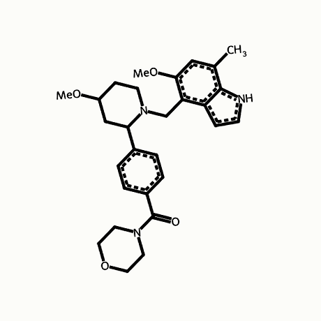 COc1cc(C)c2[nH]ccc2c1CN1CCC(OC)CC1c1ccc(C(=O)N2CCOCC2)cc1